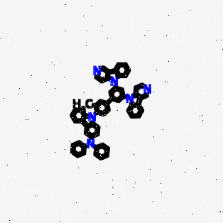 Cc1cc(-c2cc(-n3c4ccccc4c4cnccc43)cc(-n3c4ccccc4c4cnccc43)c2)ccc1-n1c2ccccc2c2cc(N(c3ccccc3)c3ccccc3)ccc21